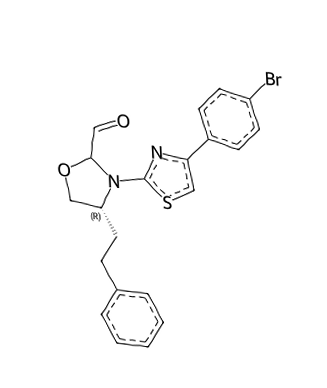 O=CC1OC[C@@H](CCc2ccccc2)N1c1nc(-c2ccc(Br)cc2)cs1